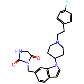 O=C1CNC(=O)N1Cc1ccc2ccn(C3CCN(CCc4ccc(F)cc4)CC3)c2c1